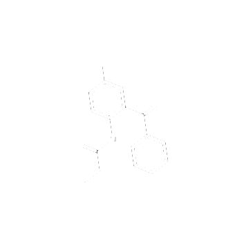 O=C(CCl)Nc1ccc(Cl)cc1C(=O)c1ccccc1